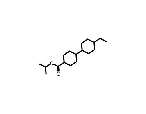 CCC1CCC(C2CCC(C(=O)OC(C)C)CC2)CC1